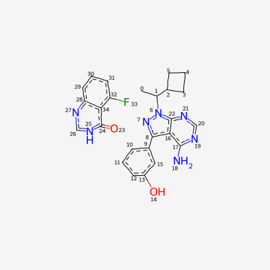 CC(C1CCC1)n1nc(-c2cccc(O)c2)c2c(N)ncnc21.O=c1[nH]cnc2cccc(F)c12